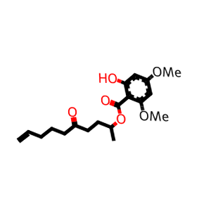 C=CCCCC(=O)CCC(C)OC(=O)c1c(O)cc(OC)cc1OC